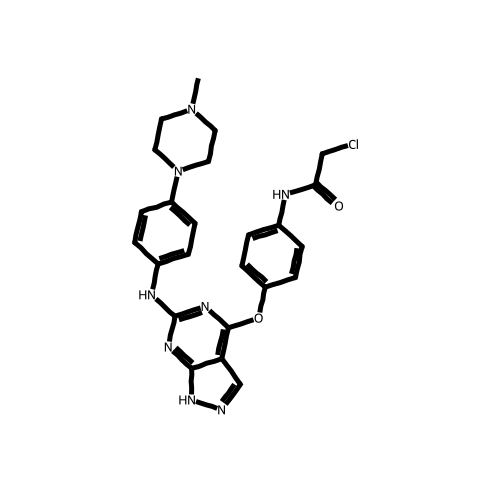 CN1CCN(c2ccc(Nc3nc(Oc4ccc(NC(=O)CCl)cc4)c4cn[nH]c4n3)cc2)CC1